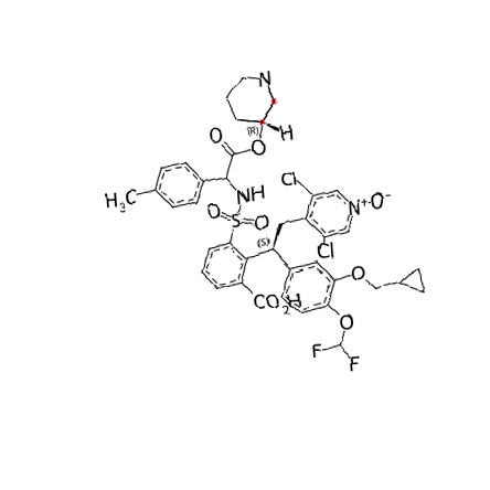 Cc1ccc(C(NS(=O)(=O)c2cccc(C(=O)O)c2[C@@H](Cc2c(Cl)c[n+]([O-])cc2Cl)c2ccc(OC(F)F)c(OCC3CC3)c2)C(=O)O[C@H]2CN3CCC2CC3)cc1